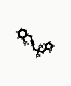 N#CC(C#N)(CC#CCc1ccccc1C(F)(F)F)Cc1ccco1